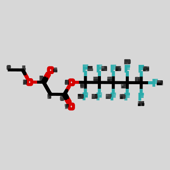 CCOC(=O)CC(=O)OC(F)(F)C(F)(F)C(F)(F)C(F)(F)C(F)(F)F